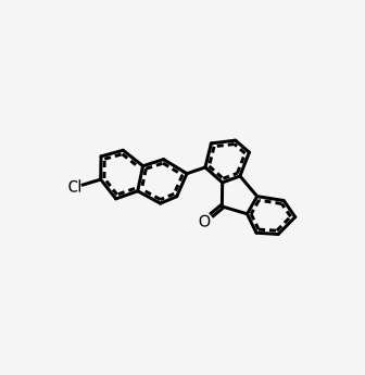 O=C1c2ccccc2-c2cccc(-c3ccc4cc(Cl)ccc4c3)c21